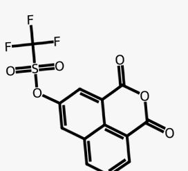 O=C1OC(=O)c2cc(OS(=O)(=O)C(F)(F)F)cc3cccc1c23